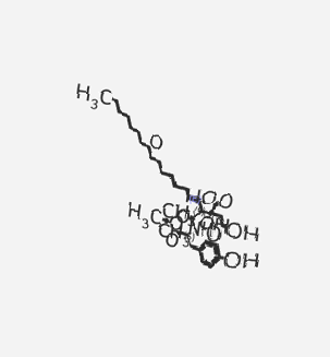 CCCCCCCC(=O)CCCCCC/C=C/[C@H](C(=O)N[C@@H](Cc1ccc(O)cc1)C(=O)OC(C)(C)C)[C@@](O)(CC(=O)O)C(=O)O